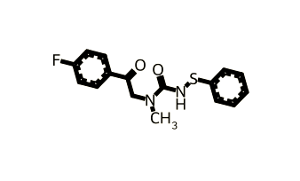 CN(CC(=O)c1ccc(F)cc1)C(=O)NSc1ccccc1